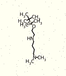 CN(C)CCCCNCCO[Si](C)(C)C(C)(C)C